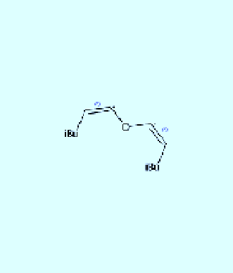 [CH2]CC(C)/C=[C]\O/[C]=C\C(C)C[CH2]